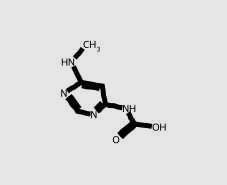 CNc1cc(NC(=O)O)ncn1